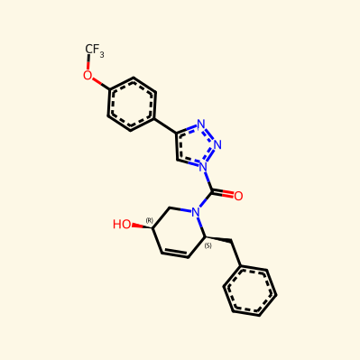 O=C(N1C[C@H](O)C=C[C@@H]1Cc1ccccc1)n1cc(-c2ccc(OC(F)(F)F)cc2)nn1